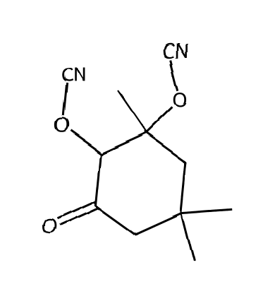 CC1(C)CC(=O)C(OC#N)C(C)(OC#N)C1